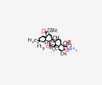 COC(=O)[C@]12CCC(C)(C)CC1C1C(=O)C=C3[C@@]4(C)C=C(C#N)C(=O)[C@@](C)(C(N)=O)C4CC[C@@]3(C)[C@]1(C)CC2